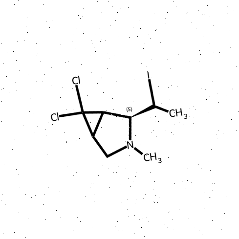 CC(I)[C@@H]1C2C(CN1C)C2(Cl)Cl